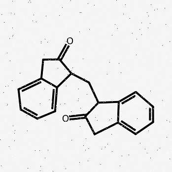 O=C1Cc2ccccc2C1CC1C(=O)Cc2ccccc21